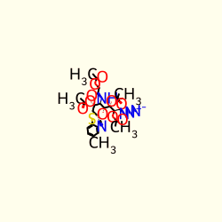 CC(=O)OCC(=O)N[C@H]1[C@H]([C@H](OC(C)=O)[C@@H](CN=[N+]=[N-])OC(C)=O)O[C@@](C#N)(Sc2ccc(C)cc2)C[C@@H]1OC(C)=O